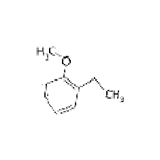 CCc1ccc[c]c1OC